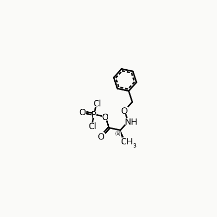 C[C@H](NOCc1ccccc1)C(=O)OP(=O)(Cl)Cl